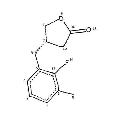 Cc1cccc(C[C@@H]2COC(=O)C2)c1F